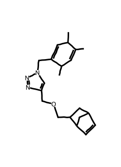 CC1=CC(C)C(Cn2cc(COCC3CC4C=CC3C4)nn2)=CC1C